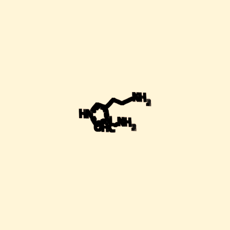 NC=O.NCCc1c[nH]cn1